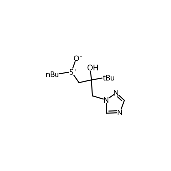 CCCC[S+]([O-])CC(O)(Cn1cncn1)C(C)(C)C